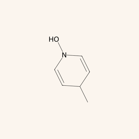 CC1C=CN(O)C=C1